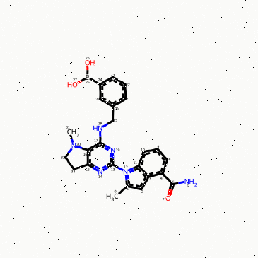 Cc1cc2c(C(N)=O)cccc2n1-c1nc2c(c(NCc3cccc(B(O)O)c3)n1)N(C)CC2